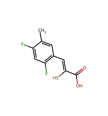 Cc1cc(/C=C(\S)C(=O)O)c(F)cc1F